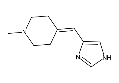 CN1CCC(=Cc2c[nH]cn2)CC1